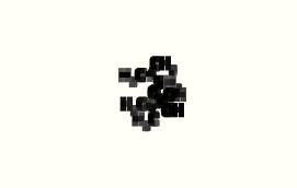 C=C(C)[SiH2]O[Si](O)(O)C(=C)C